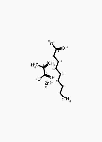 C=C(C)C(=O)[O-].CCCCCCCCC(=O)[O-].[Zn+2]